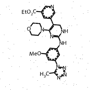 CCOC(=O)c1cncc(C2=C(N3CCOCC3)N=C(Nc3cc(OC)cc(-n4nnnc4C)c3)NC2)c1